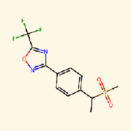 CC(c1ccc(-c2noc(C(F)(F)F)n2)cc1)S(C)(=O)=O